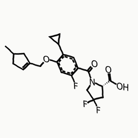 CC1CC=C(COc2cc(F)c(C(=O)N3CC(F)(F)C[C@H]3C(=O)O)cc2C2CC2)C1